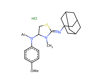 COc1ccc(N(C(C)=O)C2CSC(=NC34CC5CC(CC(C5)C3)C4)N2C)cc1.Cl